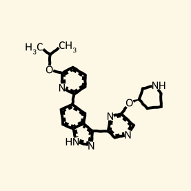 CC(C)Oc1cccc(-c2ccc3[nH]nc(-c4cncc(O[C@@H]5CCCNC5)n4)c3c2)n1